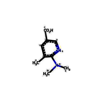 Cc1cc(C(=O)O)cnc1N(C)C